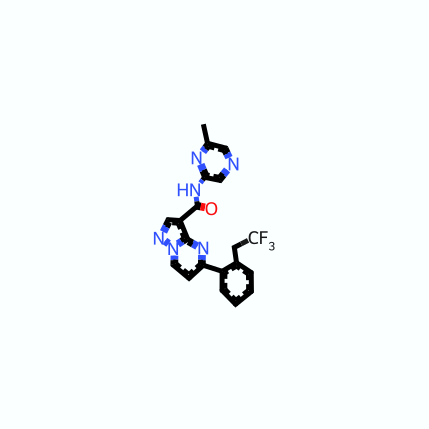 Cc1cncc(NC(=O)c2cnn3ccc(-c4ccccc4CC(F)(F)F)nc23)n1